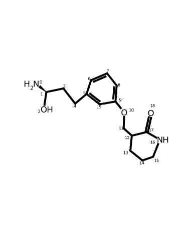 N[C@H](O)CCc1cccc(OCC2CCCNC2=O)c1